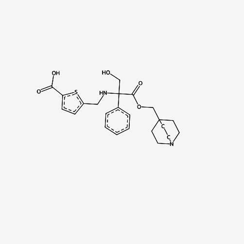 O=C(O)c1ccc(CNC(CO)(C(=O)OCC23CCN(CC2)CC3)c2ccccc2)s1